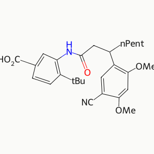 CCCCCC(CC(=O)Nc1cc(C(=O)O)ccc1C(C)(C)C)c1cc(C#N)c(OC)cc1OC